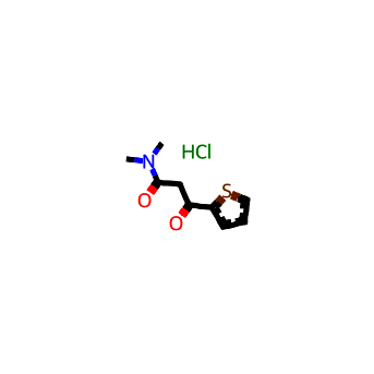 CN(C)C(=O)CC(=O)c1cccs1.Cl